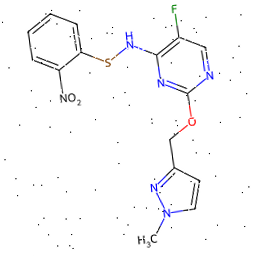 Cn1ccc(COc2ncc(F)c(NSc3ccccc3[N+](=O)[O-])n2)n1